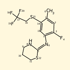 Cc1cc(F)c(N=C2NCCCS2)cc1SCC(F)(F)F